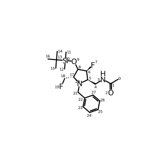 CC(=O)NC[C@@H]1[C@H](F)C(O[Si](C)(C)C(C)(C)C)[C@@H](CF)N1Cc1ccccc1